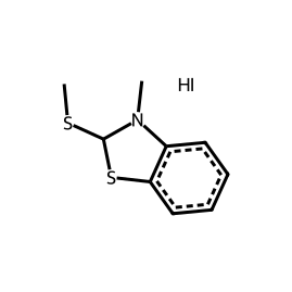 CSC1Sc2ccccc2N1C.I